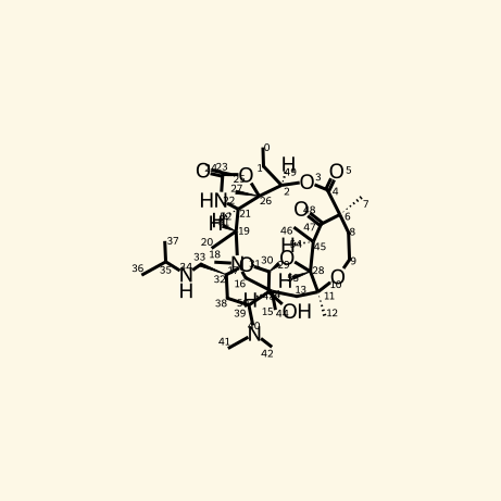 CC[C@H]1OC(=O)[C@@]2(C)CCO[C@@](C)(C[C@@H](C)CN(C)[C@H](C)[C@H]3NC(=O)O[C@@]31C)[C@H](O[C@@H]1O[C@H](CNC(C)C)CC(N(C)C)C1O)[C@@H](C)C2=O